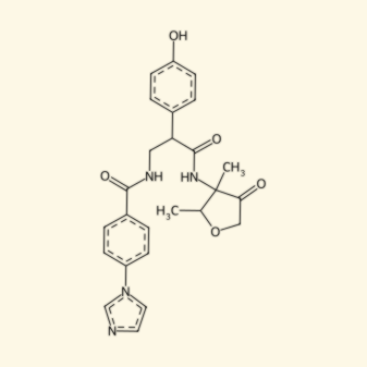 CC1OCC(=O)C1(C)NC(=O)C(CNC(=O)c1ccc(-n2ccnc2)cc1)c1ccc(O)cc1